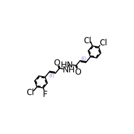 O=C(/C=C/c1ccc(Cl)c(F)c1)NNC(=O)/C=C/c1ccc(Cl)c(Cl)c1